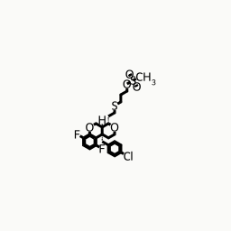 CS(=O)(=O)OCCCSCC[C@@H]1OCC[C@@]2(Cc3ccc(Cl)cc3)c3c(F)ccc(F)c3OC[C@@H]12